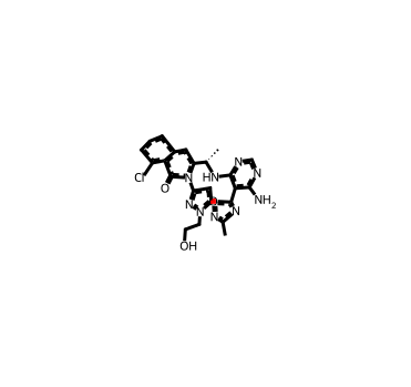 Cc1noc(-c2c(N)ncnc2N[C@@H](C)c2cc3cccc(Cl)c3c(=O)n2-c2ccn(CCO)n2)n1